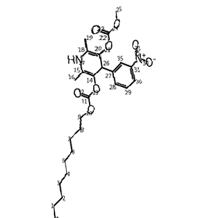 CCCCCCCCCCOC(=O)OC1=C(C)NC(C)=C(OC(=O)OC)C1c1cccc([N+](=O)[O-])c1